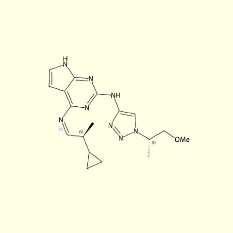 COC[C@H](C)n1cc(Nc2nc(/N=C\[C@@H](C)C3CC3)c3cc[nH]c3n2)nn1